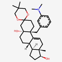 CN(C)c1cccc(C[C@]23CCC4(C[C@]2(O)CC[C@@H]2C3=CC[C@]3(C)[C@@H](O)CC[C@@H]23)OCC(C)(C)CO4)c1